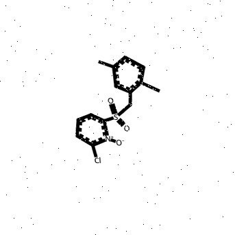 Cc1ccc(C)c(CS(=O)(=O)c2cccc(Cl)[n+]2[O-])c1